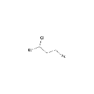 CCC(Cl)CCC(C)=O